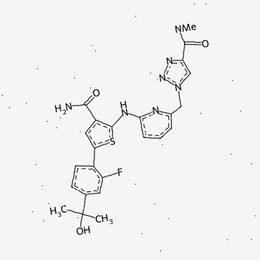 CNC(=O)c1cn(Cc2cccc(Nc3sc(-c4ccc(C(C)(C)O)cc4F)cc3C(N)=O)n2)nn1